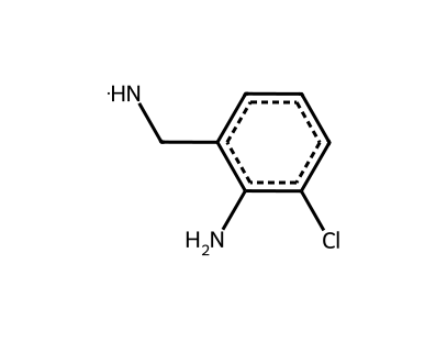 [NH]Cc1cccc(Cl)c1N